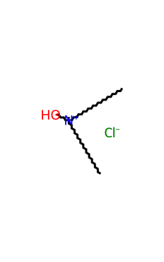 CCCCCCCCCCCCCCCCCCCCCC[N+](C)(CCCCO)CCCCCCCCCCCCCCCCCCCCCC.[Cl-]